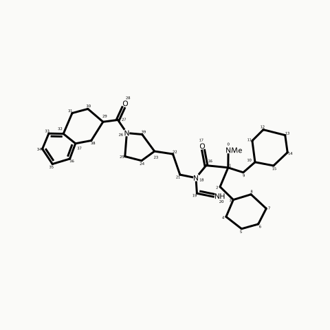 CNC(CC1CCCCC1)(CC1CCCCC1)C(=O)N(C=N)CCC1CCN(C(=O)C2CCc3ccccc3C2)C1